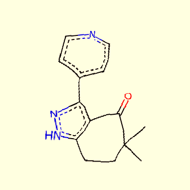 CC1(C)CCc2[nH]nc(-c3ccncc3)c2C1=O